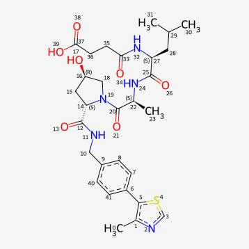 Cc1ncsc1-c1ccc(CNC(=O)[C@@H]2C[C@@H](O)CN2C(=O)[C@H](C)NC(=O)[C@H](CC(C)C)NC(=O)CCC(=O)O)cc1